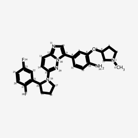 CN1CCC(Oc2cc(-c3cnc4ccc(N5CCCC5c5cc(F)ccc5F)nn34)ccc2N)C1